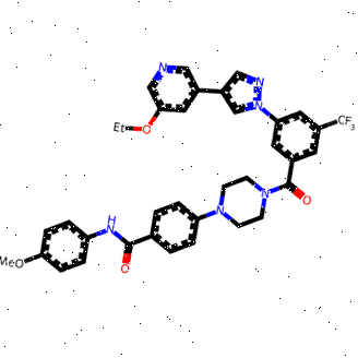 CCOc1cncc(-c2cnn(-c3cc(C(=O)N4CCN(c5ccc(C(=O)Nc6ccc(OC)cc6)cc5)CC4)cc(C(F)(F)F)c3)c2)c1